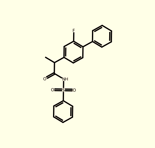 CC(C(=O)NS(=O)(=O)c1ccccc1)c1ccc(-c2ccccc2)c(F)c1